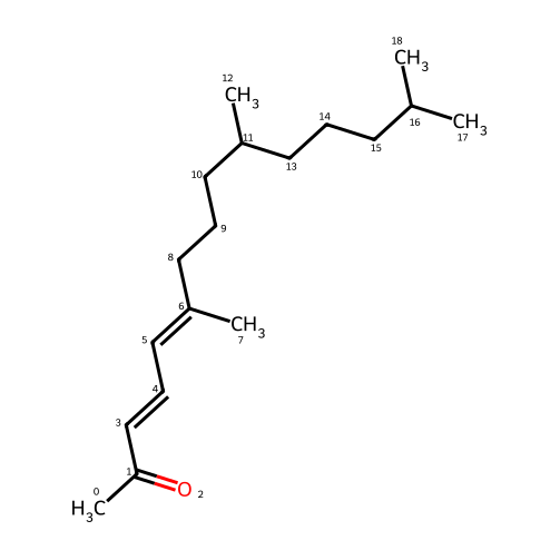 CC(=O)/C=C/C=C(\C)CCCC(C)CCCC(C)C